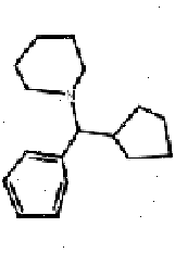 c1ccc(C(C2CCCC2)N2CCCCC2)cc1